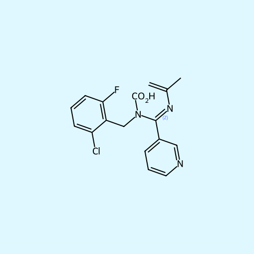 C=C(C)/N=C(/c1cccnc1)N(Cc1c(F)cccc1Cl)C(=O)O